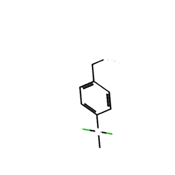 CCCCCCCc1ccc([Si](C)(Cl)Cl)cc1